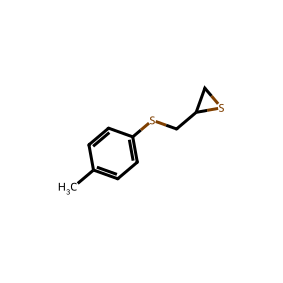 Cc1ccc(SCC2CS2)cc1